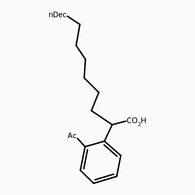 CCCCCCCCCCCCCCCCC(C(=O)O)c1ccccc1C(C)=O